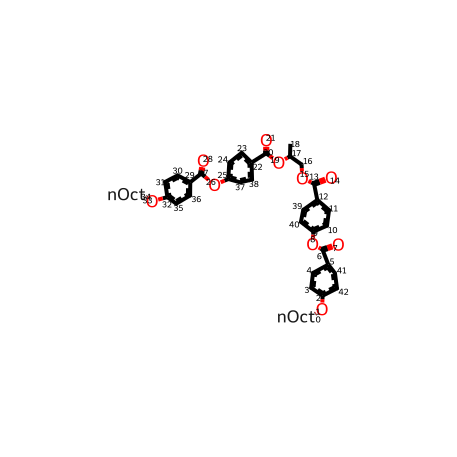 CCCCCCCCOc1ccc(C(=O)Oc2ccc(C(=O)OCC(C)OC(=O)c3ccc(OC(=O)c4ccc(OCCCCCCCC)cc4)cc3)cc2)cc1